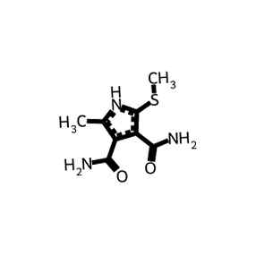 CSc1[nH]c(C)c(C(N)=O)c1C(N)=O